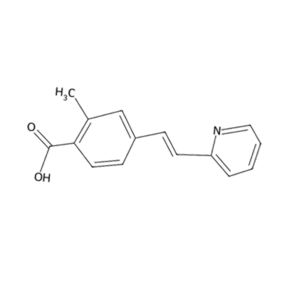 Cc1cc(/C=C/c2ccccn2)ccc1C(=O)O